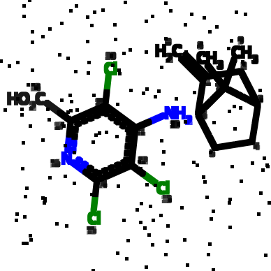 C=C1CC2CCC1C2(C)C.Nc1c(Cl)c(Cl)nc(C(=O)O)c1Cl